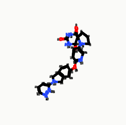 O=C1NC(=O)C2(CCCN2c2ccc(Oc3ccc4c(c3)CN(c3cccnn3)C4)nc2)C(=O)N1